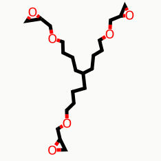 C(CCC(CCCCOCC1CO1)CCCCOCC1CO1)COCC1CO1